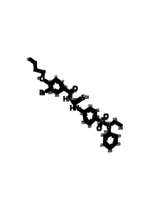 CCCCOc1ccc(C(=O)NC(=S)Nc2ccc(S(=O)(=O)N(CC)c3ccccc3)cc2)cc1Br